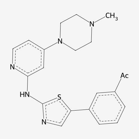 CC(=O)c1cccc(-c2cnc(Nc3cc(N4CCN(C)CC4)ccn3)s2)c1